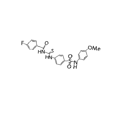 COc1ccc(NS(=O)(=O)c2ccc(NC(=S)NC(=O)c3ccc(F)cc3)cc2)cc1